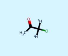 [2H]C([2H])(Cl)C(C)=O